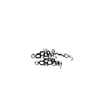 CCCCCCC(=O)O[C@H]1CC[C@H]2[C@@H]3CCC4=CC(=O)CC[C@]4(C)[C@H]3CC[C@]12C.C[C@]12CC[C@H]3[C@@H](CCC4=CC(=O)CC[C@@]43C)[C@@H]1CC[C@@H]2O